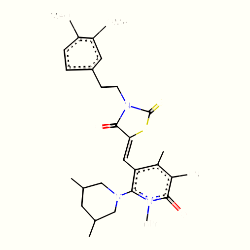 CCCn1c(N2CC(C)CC(C)C2)c(/C=C2\SC(=S)N(CCc3ccc(OC)c(OC)c3)C2=O)c(C)c(C#N)c1=O